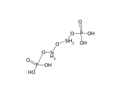 O=P(O)(O)O[SiH2]O[SiH2]OP(=O)(O)O